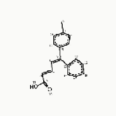 Cc1ccc(C(=CC=CC(=O)O)c2ccccc2)cc1